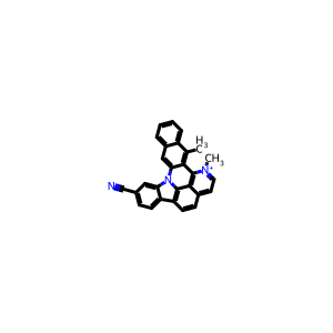 Cc1c2ccccc2cc2c1c1c3c(ccc4c5ccc(C#N)cc5n2c43)cc[n+]1C